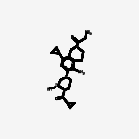 CCC[C@@H]1CN(c2nc(C3CC3)c3c(c2N)CCN(C(=O)CN)C3)CCN1C(=O)C1CC1